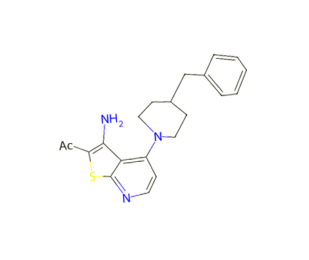 CC(=O)c1sc2nccc(N3CCC(Cc4ccccc4)CC3)c2c1N